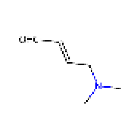 CN(C)CC=CC=O